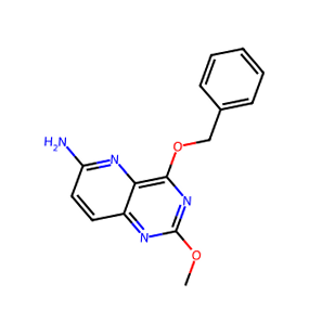 COc1nc(OCc2ccccc2)c2nc(N)ccc2n1